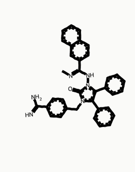 CN=C(Nn1c(-c2ccccc2)c(-c2ccccc2)n(Cc2ccc(C(=N)N)cc2)c1=O)c1ccc2ccccc2c1